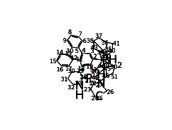 PC(c1cc(-c2ccccc2)c(-c2ccccc2)cc1CP(C1CCCCN1)C1CCCCN1)(C12CC3CC(CC(C3)C1)C2)C12CC3CC(CC(C3)C1)C2